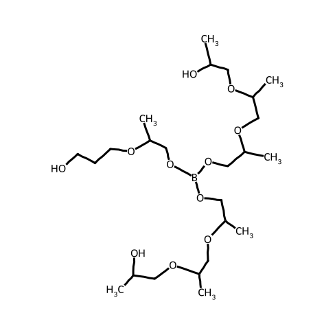 CC(O)COC(C)COC(C)COB(OCC(C)OCCCO)OCC(C)OCC(C)OCC(C)O